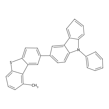 Cc1cccc2sc3ccc(-c4ccc5c(c4)c4ccccc4n5-c4ccccc4)cc3c12